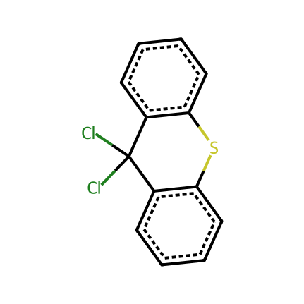 ClC1(Cl)c2ccccc2Sc2ccccc21